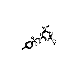 COc1nc(NCS(=O)(=O)c2ccc(C)cc2)nc(N(C)C)n1